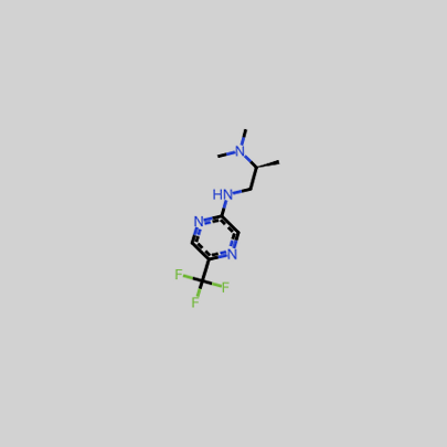 C[C@@H](CNc1cnc(C(F)(F)F)cn1)N(C)C